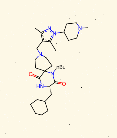 CCCCN1C(=O)[C@H](CC2CCCCC2)NC(=O)C12CCN(Cc1c(C)nn(C3CCN(C)CC3)c1C)CC2